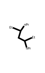 CCCC(CC)CC(CC)CCC